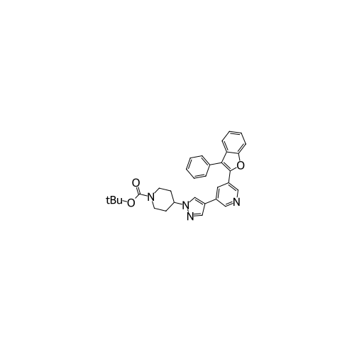 CC(C)(C)OC(=O)N1CCC(n2cc(-c3cncc(-c4oc5ccccc5c4-c4ccccc4)c3)cn2)CC1